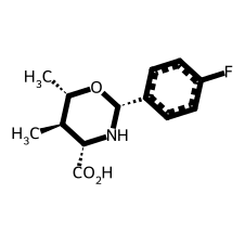 C[C@H]1[C@H](C)O[C@H](c2ccc(F)cc2)N[C@@H]1C(=O)O